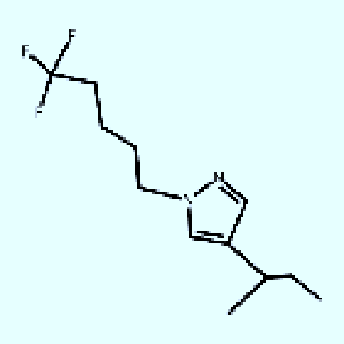 CCC(C)c1cnn(CCCCC(F)(F)F)c1